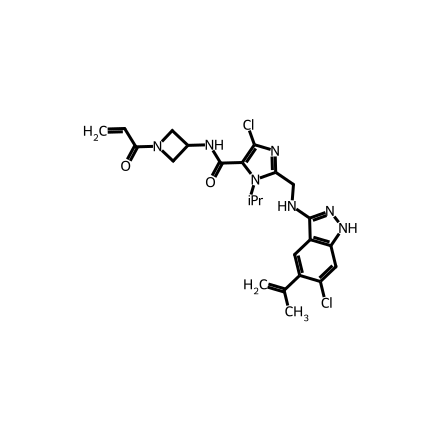 C=CC(=O)N1CC(NC(=O)c2c(Cl)nc(CNc3n[nH]c4cc(Cl)c(C(=C)C)cc34)n2C(C)C)C1